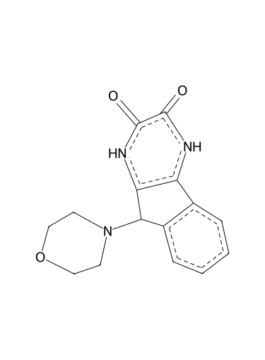 O=c1[nH]c2c([nH]c1=O)C(N1CCOCC1)c1ccccc1-2